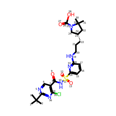 CC(C)(C)c1ncc(C(=O)NS(=O)(=O)c2cccc(NCCC[C@@H]3CN(C(=O)O)C(C)(C)C3)n2)c(Cl)n1